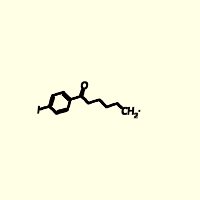 [CH2]CCCCC(=O)c1ccc(I)cc1